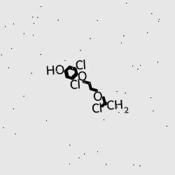 C=C(Cl)COCCCCOc1c(Cl)cc(O)cc1Cl